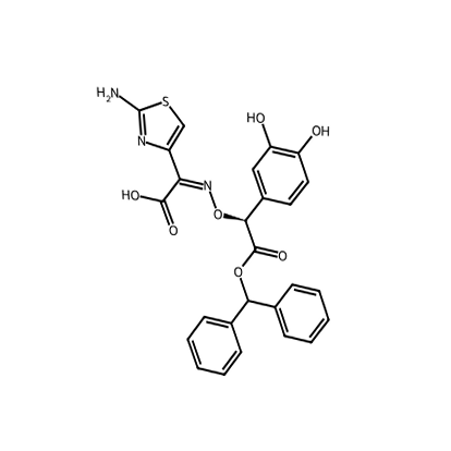 Nc1nc(C(=NO[C@H](C(=O)OC(c2ccccc2)c2ccccc2)c2ccc(O)c(O)c2)C(=O)O)cs1